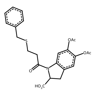 CC(=O)Oc1cc2c(cc1OC(C)=O)N(C(=O)CCSCc1ccccc1)C(C(=O)O)C2